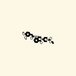 CCOC(=O)N1CCC(n2ccc3c(NC(=O)Cc4ccc(OC)c(OC)c4)cccc3c2=O)CC1